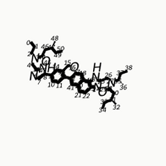 CCCN(Cc1ncc(-c2ccc3c(c2)COc2cc4c(ccc5nc(CN(C(=O)C[C@@H](C)CC)[C@@H](C)CC)[nH]c54)cc2-3)[nH]1)C(=O)C[C@@H](C)CC